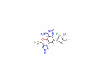 C[C@@H](Oc1cc(F)c(-c2ccc(F)c(Cl)c2F)c2ncnc(N)c12)c1nc[nH]n1